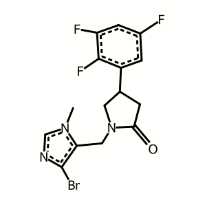 Cn1cnc(Br)c1CN1CC(c2cc(F)cc(F)c2F)CC1=O